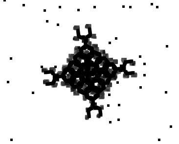 CCN(CC)c1cc[c]([Sn]([c]2ccccc2)([c]2ccccc2)[Sn]([Sn]([c]2ccccc2)([c]2ccccc2)[c]2ccc(N(CC)CC)cc2)([Sn]([c]2ccccc2)([c]2ccccc2)[c]2ccc(N(CC)CC)cc2)[Sn]([c]2ccccc2)([c]2ccccc2)[c]2ccc(N(CC)CC)cc2)cc1